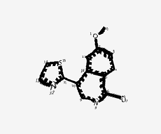 COc1ccc2c(Cl)ncc(-c3nccs3)c2c1